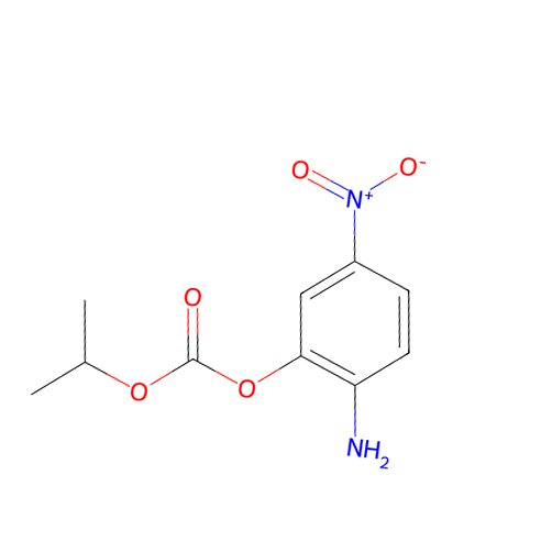 CC(C)OC(=O)Oc1cc([N+](=O)[O-])ccc1N